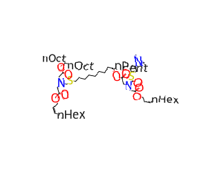 CCCCCC/C=C\COC(=O)CN(CSCCCCCCCCC(CCCCC)OC(=O)CN(CC(=O)OC/C=C\CCCCCC)C(=O)SCCN(C)C)CC(=O)OC(CCCCCCCC)CCCCCCCC